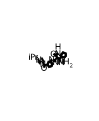 CC(C)N1CCN(C(=O)c2ccc3[nH]c(-c4c(N)c5ccccc5[nH]c4=O)nc3c2)CC1